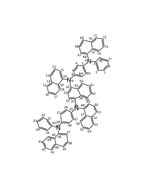 c1ccc(N(c2ccc(N(c3cccc4ccccc34)c3ccc(N(c4ccc(N(c5ccccc5)c5cccc6ccccc56)cc4)c4cccc5ccccc45)c4ccccc34)cc2)c2cccc3ccccc23)cc1